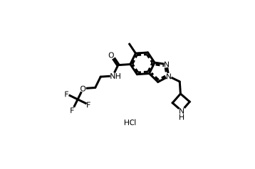 Cc1cc2nn(CC3CNC3)cc2cc1C(=O)NCCOC(F)(F)F.Cl